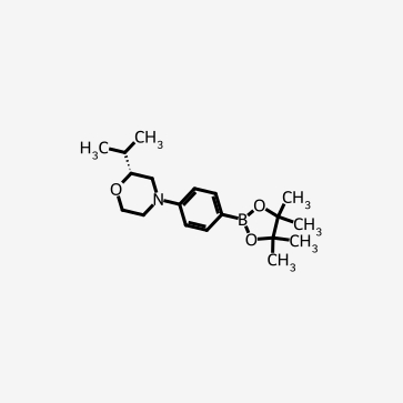 CC(C)[C@@H]1CN(c2ccc(B3OC(C)(C)C(C)(C)O3)cc2)CCO1